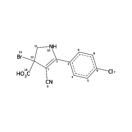 N#CC1=C(c2ccc(Cl)cc2)NCC1(Br)C(=O)O